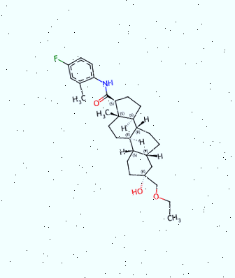 CCOC[C@@]1(O)CC[C@H]2[C@H](CC[C@@H]3[C@@H]2CC[C@]2(C)[C@@H](C(=O)Nc4ccc(F)cc4C)CC[C@@H]32)C1